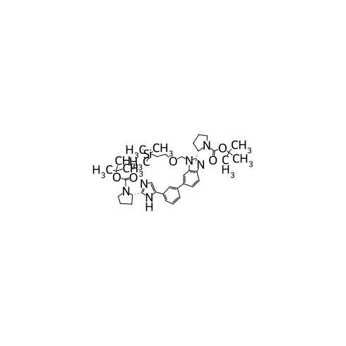 CC(C)(C)OC(=O)N1CCC[C@H]1c1ncc(-c2cccc(-c3ccc4nc([C@@H]5CCCN5C(=O)OC(C)(C)C)n(COCC[Si](C)(C)C)c4c3)c2)[nH]1